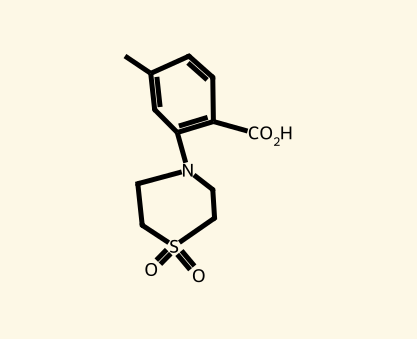 Cc1ccc(C(=O)O)c(N2CCS(=O)(=O)CC2)c1